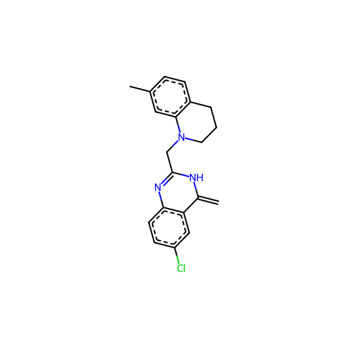 C=C1NC(CN2CCCc3ccc(C)cc32)=Nc2ccc(Cl)cc21